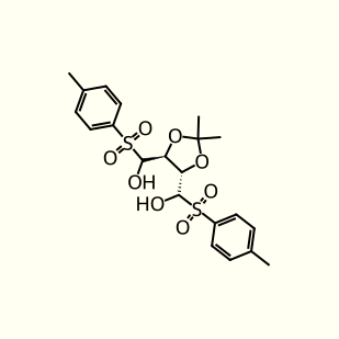 Cc1ccc(S(=O)(=O)C(O)[C@H]2OC(C)(C)O[C@@H]2C(O)S(=O)(=O)c2ccc(C)cc2)cc1